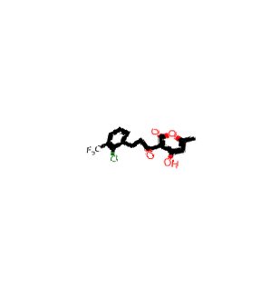 Cc1cc(O)c(C(=O)/C=C/c2cccc(C(F)(F)F)c2Cl)c(=O)o1